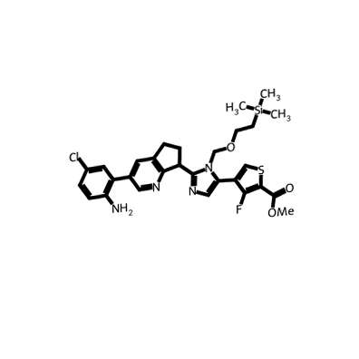 COC(=O)c1scc(-c2cnc(C3CCc4cc(-c5cc(Cl)ccc5N)cnc43)n2COCC[Si](C)(C)C)c1F